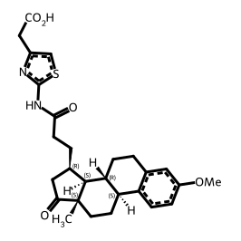 COc1ccc2c(c1)CC[C@H]1[C@@H]3[C@H](CCC(=O)Nc4nc(CC(=O)O)cs4)CC(=O)[C@@]3(C)CC[C@H]21